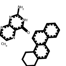 C.Nc1nc2nccnc2c(=O)[nH]1.c1ccc2c(c1)ccc1c3c(ccc12)CCCC3